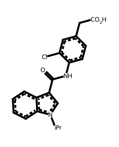 CC(C)n1cc(C(=O)Nc2ccc(CC(=O)O)cc2Cl)c2ccccc21